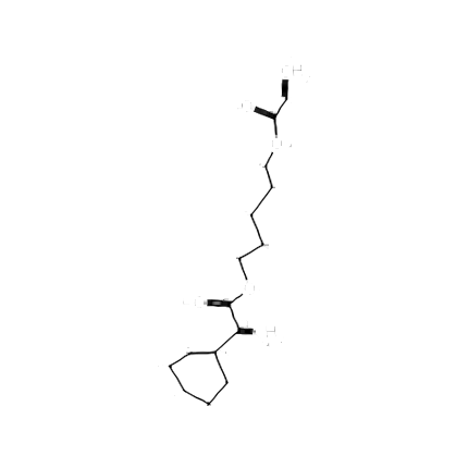 C=CC(=O)OCCCCCOC(=O)C(=C)C1CCCCC1